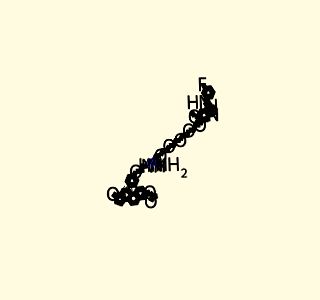 COc1cc2c(Nc3cccc(F)c3)ncnc2cc1OCCOCCOCCOCCOC/C(=C/NCCOc1ccc([C@H]2C[C@]3(C)C(=O)CCC3C3CCc4cc(OC(C)=O)ccc4C32)cc1)NN